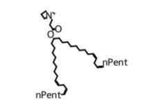 CCCCC/C=C\C/C=C\CCCCCCCCC(CCCCCCCC/C=C\C/C=C\CCCCC)OC(=O)CC[N+]1(C)CCC1